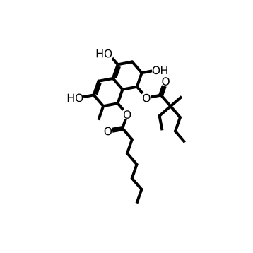 CCCCCCC(=O)OC1C(C)C(O)=CC2=C(O)CC(O)C(OC(=O)C(C)(CC)CCC)C21